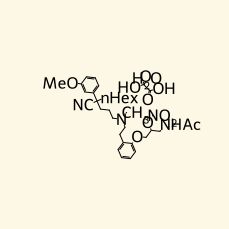 CCCCCCC(C#N)(CCCN(C)CCc1ccccc1OCC(CNC(C)=O)O[N+](=O)[O-])c1cccc(OC)c1.O.O=C(O)C(=O)O